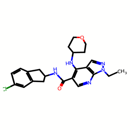 CCn1ncc2c(NC3CCOCC3)c(C(=O)NC3Cc4ccc(Cl)cc4C3)cnc21